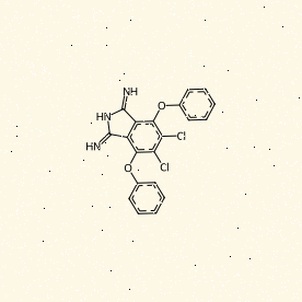 N=C1NC(=N)c2c(Oc3ccccc3)c(Cl)c(Cl)c(Oc3ccccc3)c21